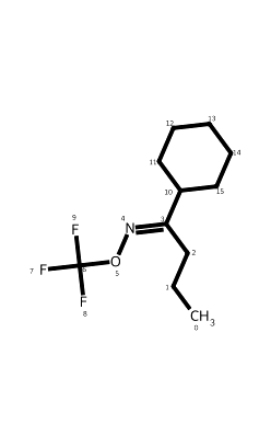 CCC/C(=N\OC(F)(F)F)C1CCCCC1